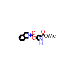 COC(=O)[C@@H]1C[C@@H](OC(=O)N2CCC3C=CC=CC3C2)CN1